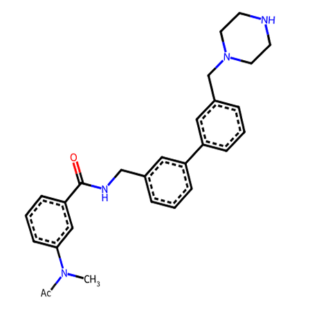 CC(=O)N(C)c1cccc(C(=O)NCc2cccc(-c3cccc(CN4CCNCC4)c3)c2)c1